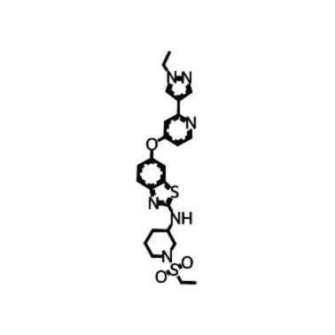 CCn1cc(-c2cc(Oc3ccc4nc(NC5CCCN(S(=O)(=O)CC)C5)sc4c3)ccn2)cn1